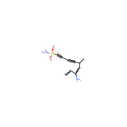 C=C/C(N)=C\C(C)C#CC#CS(N)(=O)=O